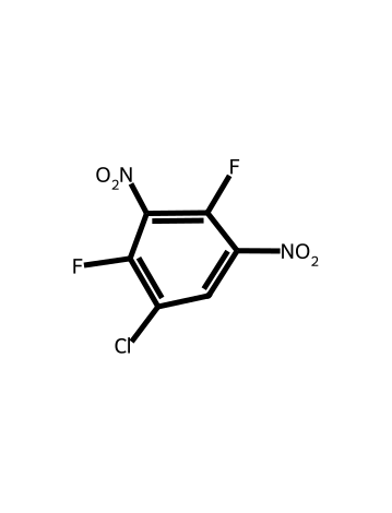 O=[N+]([O-])c1cc(Cl)c(F)c([N+](=O)[O-])c1F